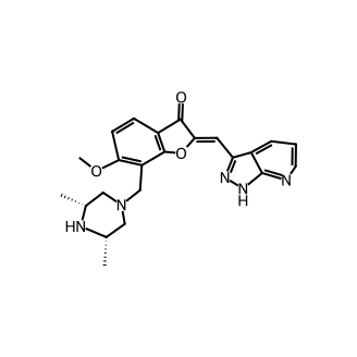 COc1ccc2c(c1CN1C[C@@H](C)N[C@@H](C)C1)OC(=Cc1n[nH]c3ncccc13)C2=O